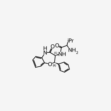 CC(C)C(N)C(=O)N[C@@H]1C(=O)Nc2ccccc2O[C@@H]1c1ccccc1